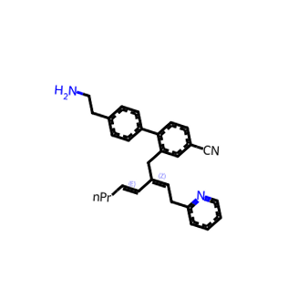 CCC/C=C/C(=C\Cc1ccccn1)Cc1cc(C#N)ccc1-c1ccc(CCN)cc1